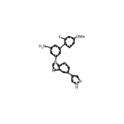 COc1ccc(-c2cc(N)cc(-n3cnc4cc(-c5cn[nH]c5)ccc43)c2)c(F)c1